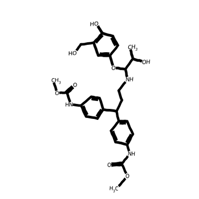 COC(=O)Nc1ccc(C(CCNC(Oc2ccc(O)c(CO)c2)C(C)O)c2ccc(NC(=O)OC)cc2)cc1